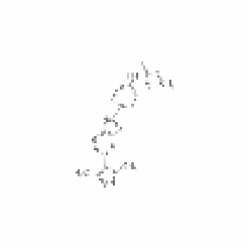 C=CS(=O)(=O)Nc1ccc(-c2nc3ccc(-c4c(C)noc4C)cc3s2)cc1